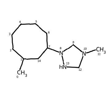 CC1CCCCCC(N2CN(C)CN2)C1